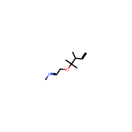 C=CC(C)C(C)(C)OC/C=N/C